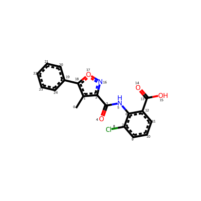 Cc1c(C(=O)Nc2c(Cl)cccc2C(=O)O)noc1-c1ccccc1